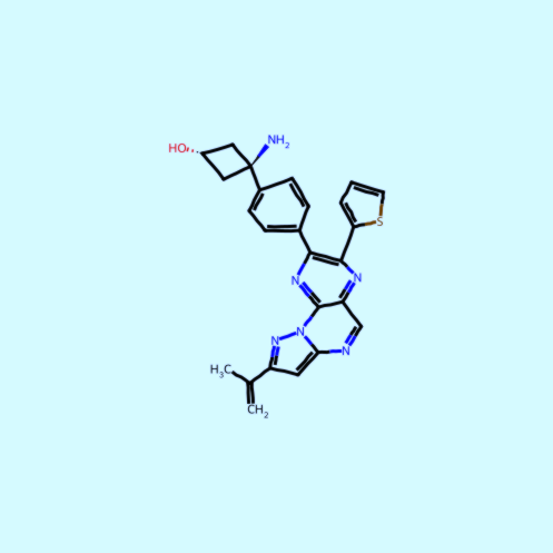 C=C(C)c1cc2ncc3nc(-c4cccs4)c(-c4ccc([C@]5(N)C[C@H](O)C5)cc4)nc3n2n1